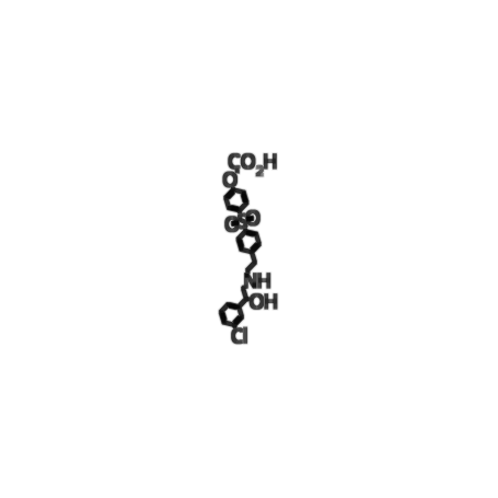 O=C(O)COc1ccc(S(=O)(=O)c2ccc(CCNCC(O)c3cccc(Cl)c3)cc2)cc1